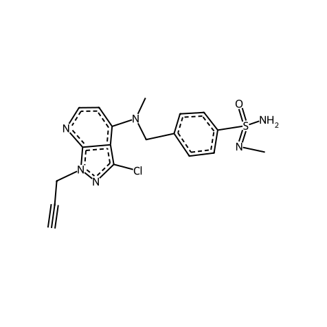 C#CCn1nc(Cl)c2c(N(C)Cc3ccc(S(N)(=O)=NC)cc3)ccnc21